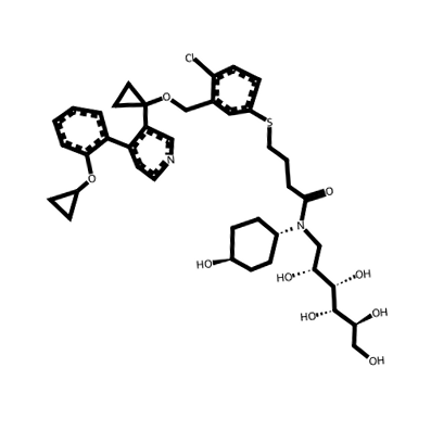 O=C(CCCSc1ccc(Cl)c(COC2(c3cnccc3-c3ccccc3OC3CC3)CC2)c1)N(C[C@@H](O)[C@H](O)[C@@H](O)[C@@H](O)CO)[C@H]1CC[C@H](O)CC1